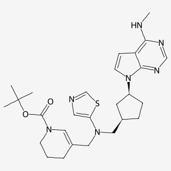 CNc1ncnc2c1ccn2[C@H]1CC[C@@H](CN(CC2=CN(C(=O)OC(C)(C)C)CCC2)c2cncs2)C1